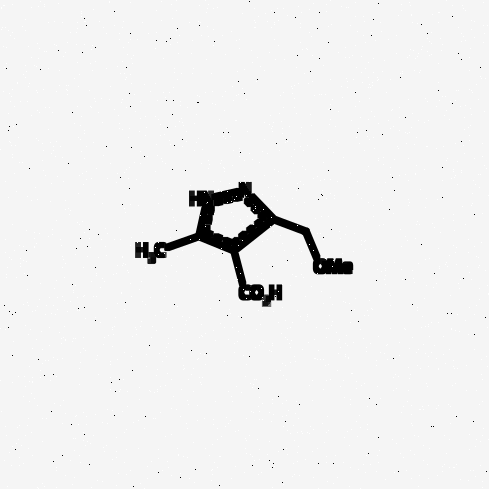 COCc1n[nH]c(C)c1C(=O)O